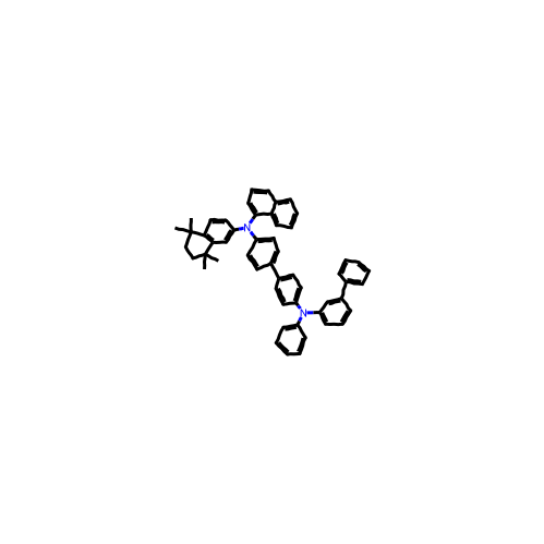 CC1(C)CCC(C)(C)c2cc(N(c3ccc(-c4ccc(N(c5ccccc5)c5cccc(-c6ccccc6)c5)cc4)cc3)c3cccc4ccccc34)ccc21